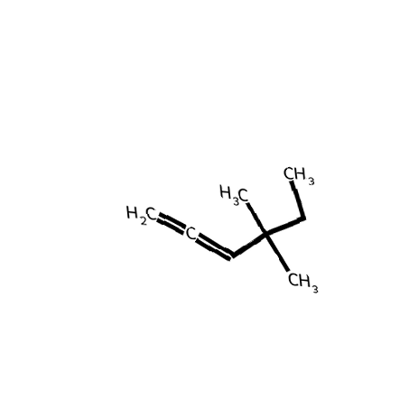 C=C=CC(C)(C)CC